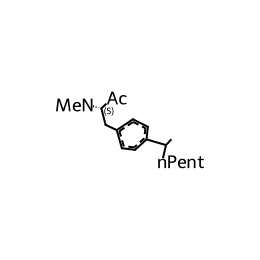 CCCCCC(C)c1ccc(C[C@H](NC)C(C)=O)cc1